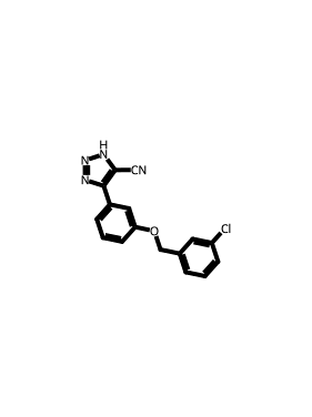 N#Cc1[nH]nnc1-c1cccc(OCc2cccc(Cl)c2)c1